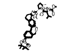 COC(=O)NC(C(=O)N1[C@@H](C)CC[C@H]1c1nc2c([nH]1)-c1cc3c(cc1CC2)-c1ccc(B2OC(C)(C)C(C)(C)O2)cc1CO3)C(C)C